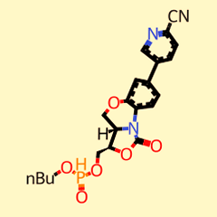 CCCCO[PH](=O)OC[C@@H]1OC(=O)N2c3ccc(-c4ccc(C#N)nc4)cc3OC[C@@H]12